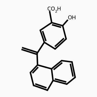 C=C(c1ccc(O)c(C(=O)O)c1)c1cccc2ccccc12